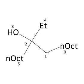 CCCCCCCC[CH]C(O)(CC)CCCCCCCC